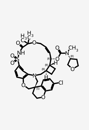 CN(C(=O)O[C@H]1C=CCOC(C)(C)C(=O)NS(=O)(=O)c2ccc3c(c2)N(C[C@@H]2CC[C@H]21)C[C@@]1(CCOc2cc(Cl)ccc21)CO3)[C@@H]1CCOC1